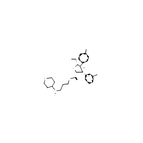 CC(=O)N(CCCNC(=O)[C@@H]1N[C@@H](CC(C)(C)C)[C@](C#N)(c2ccc(Cl)cc2)[C@H]1c1cccc(Cl)c1)C1CCNCC1